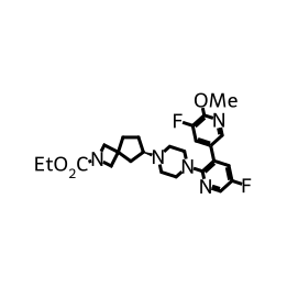 CCOC(=O)N1CC2(CC[C@@H](N3CCN(c4ncc(F)cc4-c4cnc(OC)c(F)c4)CC3)C2)C1